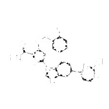 C[C@@H](Oc1cc(-n2cnc3cc(-c4ccnc(Cl)n4)ccc32)sc1C(N)=O)c1ccccc1Cl